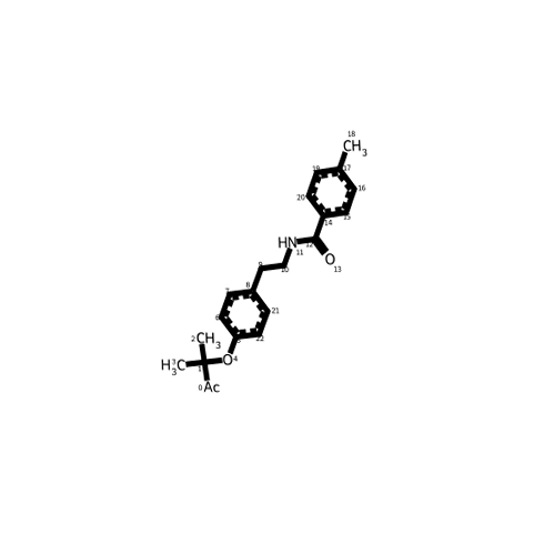 CC(=O)C(C)(C)Oc1ccc(CCNC(=O)c2ccc(C)cc2)cc1